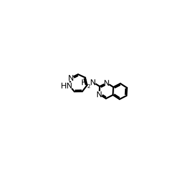 C1=CC=NNC=C1.Nc1ncc2ccccc2n1